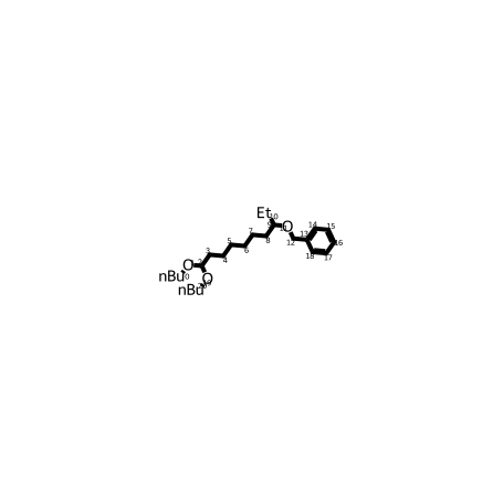 CCCCOC(CCCCCCC(CC)OCc1ccccc1)OCCCC